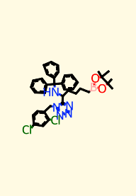 CC1(C)OB(CCCCC(NC(c2ccccc2)(c2ccccc2)c2ccccc2)c2nnnn2Cc2ccc(Cl)cc2Cl)OC1(C)C